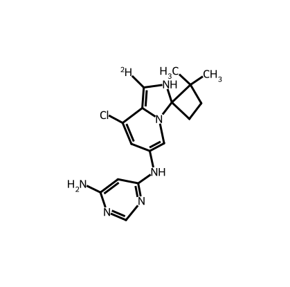 [2H]C1=C2C(Cl)=CC(Nc3cc(N)ncn3)=CN2C2(CCC2(C)C)N1